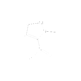 CN1N[CH]C=C1[N+](=O)[O-]